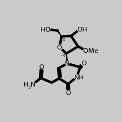 COC1C(O)[C@H](CO)O[C@@H]1n1cc(CC(N)=O)c(=O)[nH]c1=O